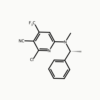 C[C@H](c1ccccc1)N(C)c1cc(C(F)(F)F)c(C#N)c(Cl)n1